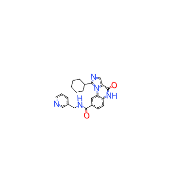 O=C(NCc1cccnc1)c1ccc2[nH]c(=O)c3cnc(C4CCCCC4)n3c2c1